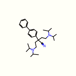 CC(C)N(CCC(C#N)(CCN(C(C)C)C(C)C)c1ccc(-c2ccccc2)cc1)C(C)C